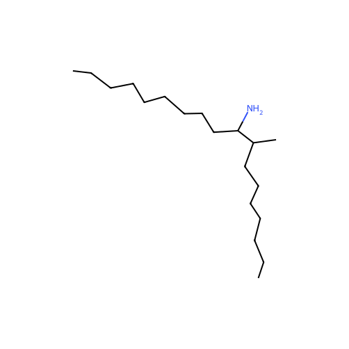 CCCCCCCCCC(N)C(C)CCCCCCC